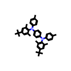 Cc1ccc(N(c2ccc(N(c3ccc(C)cc3)c3c(C)cc(C(C)(C)C)cc3C)cc2)c2c(C)cc(C(C)(C)C)cc2C)cc1